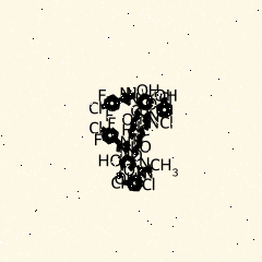 Cc1nc([C@H]2O[C@@H](CO)[C@@H](O)[C@@H](n3cc(-c4cc(F)c(Cl)c(F)c4)nn3)[C@@H]2OCC(=O)N2CCN(C(=O)CO[C@@H]3[C@@H](n4cc(-c5cc(F)c(Cl)c(F)c5)nn4)[C@@H](O)[C@@H](CO)O[C@H]3c3nc(C)nn3-c3cc(Cl)ccc3Cl)CC2)n(-c2cc(Cl)ccc2Cl)n1